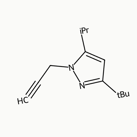 C#CCn1nc(C(C)(C)C)cc1C(C)C